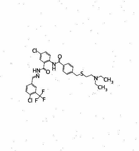 CCN(CC)CCSCc1ccc(C(=O)Nc2ccc(Cl)cc2C(=O)N/N=C/c2ccc(Cl)c(C(F)(F)F)c2)cc1